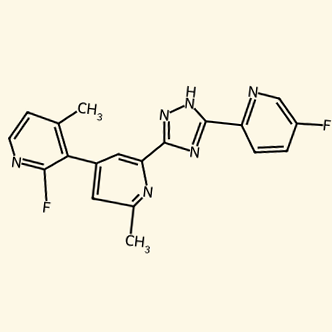 Cc1cc(-c2c(C)ccnc2F)cc(-c2n[nH]c(-c3ccc(F)cn3)n2)n1